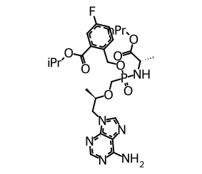 CCCOC(=O)[C@H](C)NP(=O)(CO[C@H](C)Cn1cnc2c(N)ncnc21)OCc1ccc(F)cc1C(=O)OC(C)C